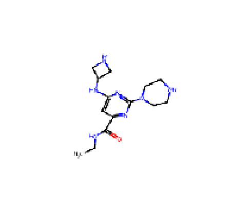 CCNC(=O)c1cc(NC2CNC2)nc(N2CCNCC2)n1